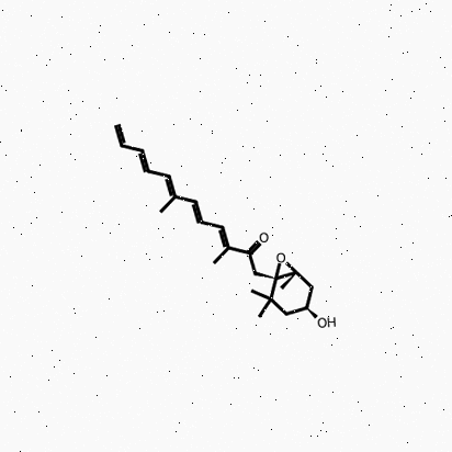 C=C/C=C/C=C(C)/C=C/C=C(\C)C(=O)C[C@@]12O[C@]1(C)C[C@@H](O)CC2(C)C